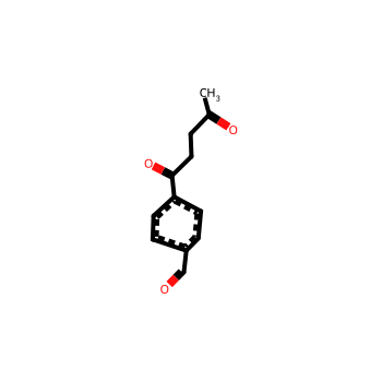 CC(=O)CCC(=O)c1ccc(C=O)cc1